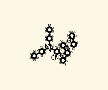 N#Cc1cc(-c2nc(-c3ccc(-c4ccccc4)cc3)nc(-c3ccc(-c4ccccc4)cc3)n2)ccc1-n1c2ccccc2c2ccc3c(c4ccccc4n3-c3cccc4c3oc3ccccc34)c21